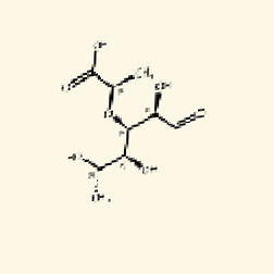 C[C@H](O)[C@H](O)[C@@H](O[C@H](C)C(=O)O)[C@@H](O)C=O